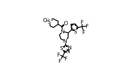 O=C(C1CC[S+]([O-])CC1)N1CCN(c2nnc(C(F)(F)F)s2)CC1c1ccc(C(F)(F)F)s1